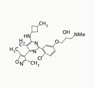 CNC[C@@H](O)COc1ccc(Cl)c(-c2nc(NC3CC(C)C3)c(C)c(-c3c(C)noc3C)n2)c1